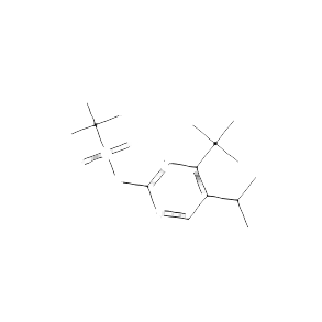 CC(C)c1cnc(OS(=O)(=O)C(F)(F)F)nc1C(C)(C)C